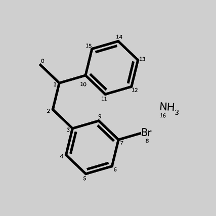 CC(Cc1cccc(Br)c1)c1ccccc1.N